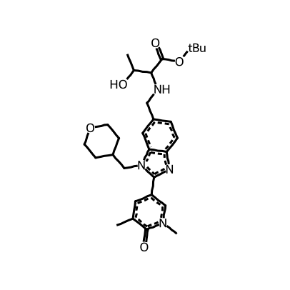 Cc1cc(-c2nc3ccc(CNC(C(=O)OC(C)(C)C)C(C)O)cc3n2CC2CCOCC2)cn(C)c1=O